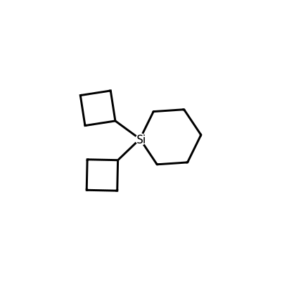 C1CC[Si](C2CCC2)(C2CCC2)CC1